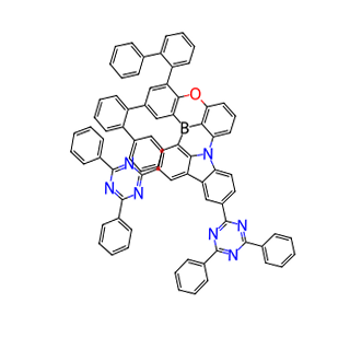 c1ccc(-c2nc(-c3ccccc3)nc(-c3ccc4c(c3)c3cc(-c5nc(-c6ccccc6)nc(-c6ccccc6)n5)cc5c3n4-c3cccc4c3B5c3cc(-c5ccccc5-c5ccccc5)cc(-c5ccccc5-c5ccccc5)c3O4)n2)cc1